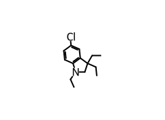 CCN1CC(CC)(CC)c2cc(Cl)ccc21